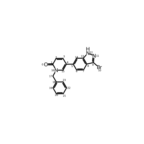 O=c1ccc(-c2ccc3c(Br)n[nH]c3c2)cn1Cc1ccccc1